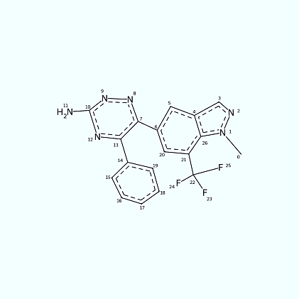 Cn1ncc2cc(-c3nnc(N)nc3-c3ccccc3)cc(C(F)(F)F)c21